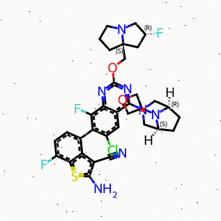 N#Cc1c(N)sc2c(F)ccc(-c3c(Cl)cc4c(N5C[C@H]6CC[C@@H](C5)N6C5COC5)nc(OC[C@@]56CCCN5C[C@H](F)C6)nc4c3F)c12